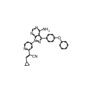 N#C/C(=C\C1CC1)c1cc(-n2nc(-c3ccc(Oc4ccccc4)cc3)c3c(N)ncnc32)ccn1